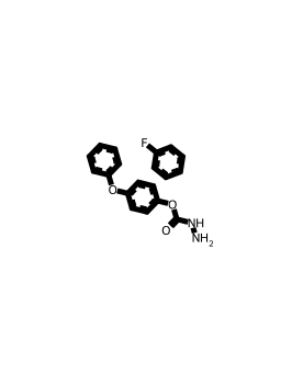 Fc1ccccc1.NNC(=O)Oc1ccc(Oc2ccccc2)cc1